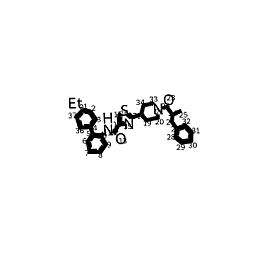 CCc1ccc(-c2ccccc2NC(=O)c2csc(C3CCN(C(=O)C(C)Cc4ccccc4)CC3)n2)cc1